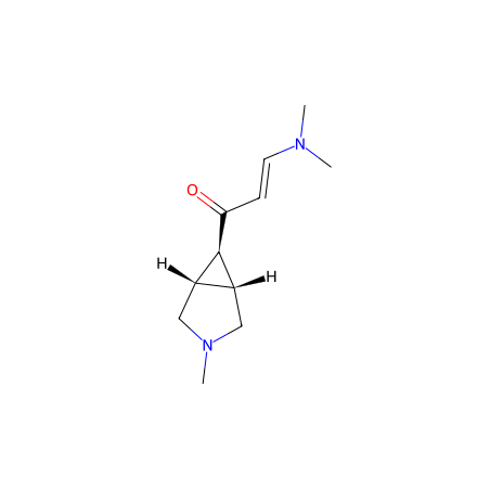 CN(C)/C=C/C(=O)[C@H]1[C@@H]2CN(C)C[C@@H]21